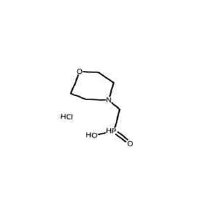 Cl.O=[PH](O)CN1CCOCC1